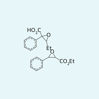 CCC1OC1(C(=O)O)c1ccccc1.CCOC(=O)C1OC1c1ccccc1